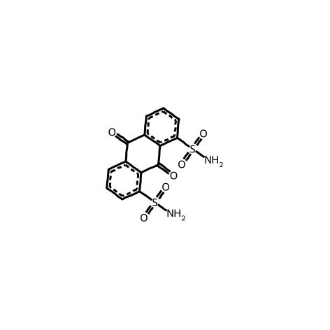 NS(=O)(=O)c1cccc2c1C(=O)c1c(cccc1S(N)(=O)=O)C2=O